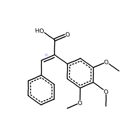 COc1cc(/C(=C\c2ccccc2)C(=O)O)cc(OC)c1OC